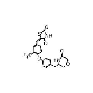 O=C1COCC(Cc2ccc(Oc3ccc(C=C4SC(=O)NC4=O)cc3C(F)(F)F)cc2)N1